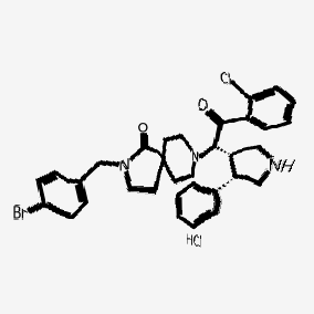 Cl.O=C(c1ccccc1Cl)C([C@@H]1CNC[C@@H]1c1ccccc1)N1CCC2(CCN(Cc3ccc(Br)cc3)C2=O)CC1